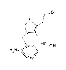 CC1=C(CCO)SCN1Cc1ccccc1N.Cl.Cl